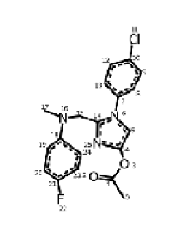 CC(=O)Oc1cn(-c2ccc(Cl)cc2)c(CN(C)c2ccc(F)cc2)n1